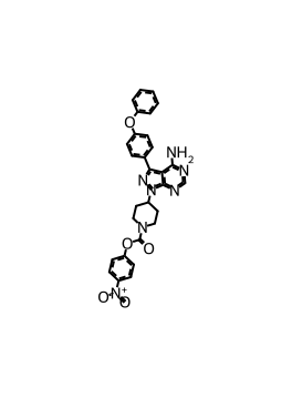 Nc1ncnc2c1c(-c1ccc(Oc3ccccc3)cc1)nn2C1CCN(C(=O)Oc2ccc([N+](=O)[O-])cc2)CC1